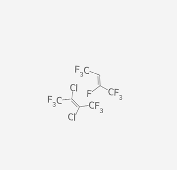 FC(=CC(F)(F)F)C(F)(F)F.FC(F)(F)C(Cl)=C(Cl)C(F)(F)F